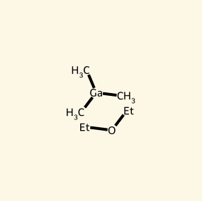 CCOCC.[CH3][Ga]([CH3])[CH3]